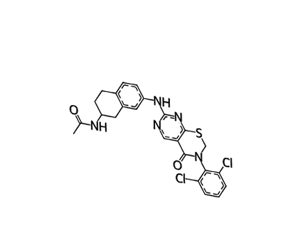 CC(=O)NC1CCc2ccc(Nc3ncc4c(n3)SCN(c3c(Cl)cccc3Cl)C4=O)cc2C1